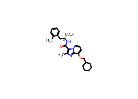 Cc1ccccc1C[C@@H](NC(=O)c1c(C)nc2c(OCC3CCCCC3)cccn12)C(=O)O